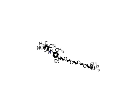 CCN(CCOCCOCCOCCOCCN(C)C)c1ccc(/N=N/c2sc(C#N)c(C)c2C#N)c(C)c1